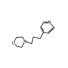 [c]1cc(CCCN2CCOCC2)ccn1